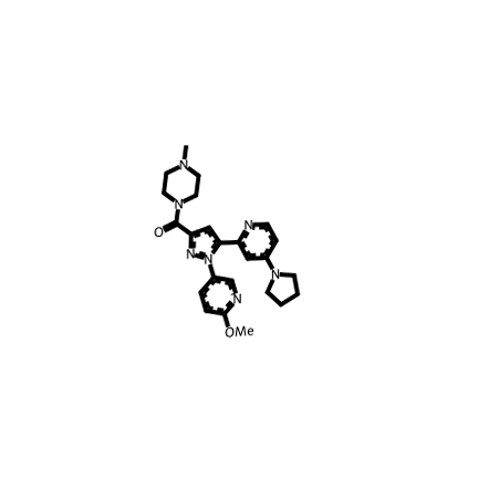 COc1ccc(-n2nc(C(=O)N3CCN(C)CC3)cc2-c2cc(N3CCCC3)ccn2)cn1